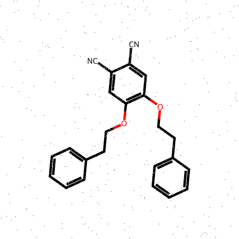 N#Cc1cc(OCCc2ccccc2)c(OCCc2ccccc2)cc1C#N